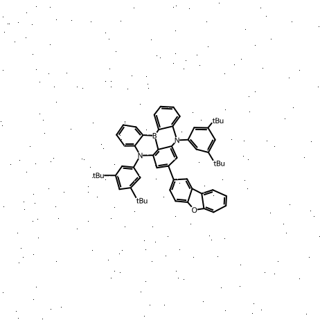 CC(C)(C)c1cc(N2c3ccccc3B3c4ccccc4N(c4cc(C(C)(C)C)cc(C(C)(C)C)c4)c4cc(-c5ccc6oc7ccccc7c6c5)cc2c43)cc(C(C)(C)C)c1